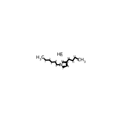 CCCCCCn1ccc(CCCC)c1.F